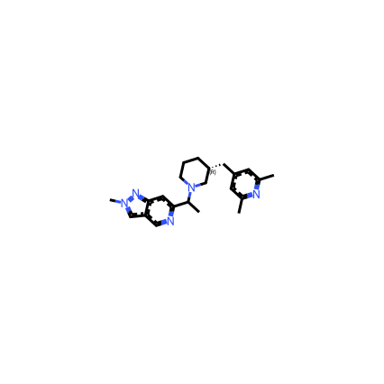 Cc1cc(C[C@H]2CCCN(C(C)c3cc4nn(C)cc4cn3)C2)cc(C)n1